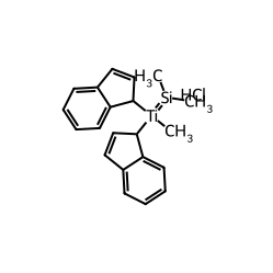 C[Si](C)=[Ti]([CH3])([CH]1C=Cc2ccccc21)[CH]1C=Cc2ccccc21.Cl